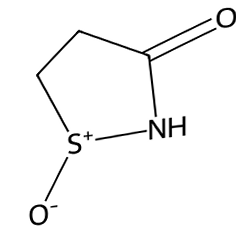 O=C1CC[S+]([O-])N1